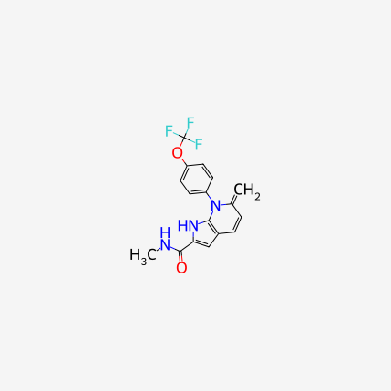 C=C1C=Cc2cc(C(=O)NC)[nH]c2N1c1ccc(OC(F)(F)F)cc1